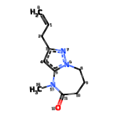 C=CCc1cc2n(n1)CCCC(=O)N2C